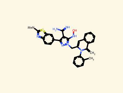 C=C1c2ccccc2C=C(Cn2nc(-c3ccc4nc(NC)sc4c3)c(C(=N)N)c2NO)N1c1ccccc1C